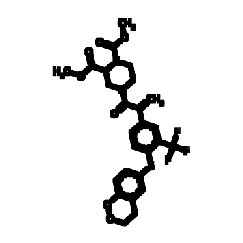 C=C(C(=O)N1CCN(C(=O)OC)C(C(=O)OC)C1)c1ccc(Sc2ccc3c(c2)CCOO3)c(C(F)(F)F)c1